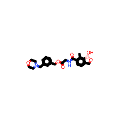 Cc1c(C(=O)NCC(=O)OCc2cccc(CN3CCOCC3)c2)ccc2c1B(O)OC2